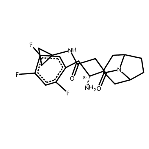 N[C@H](Cc1cc(F)c(F)cc1F)C1CC2CCC(C1)N2C(=O)CC(=O)NC1CC1